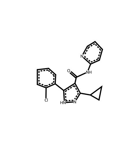 O=C(Nc1ccccn1)c1c(C2CC2)n[nH]c1-c1ccccc1Cl